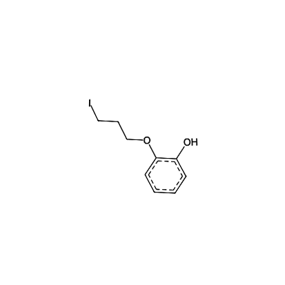 Oc1ccccc1OCCCI